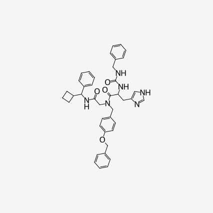 O=C(CN(Cc1ccc(OCc2ccccc2)cc1)C(=O)C(Cc1c[nH]cn1)NC(=O)NCc1ccccc1)NC(c1ccccc1)C1CCC1